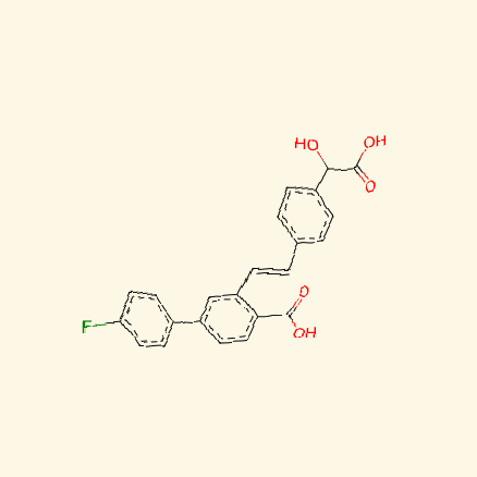 O=C(O)c1ccc(-c2ccc(F)cc2)cc1/C=C/c1ccc(C(O)C(=O)O)cc1